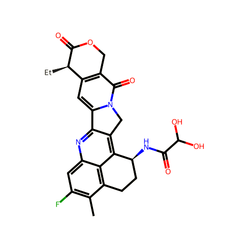 CC[C@H]1C(=O)OCc2c1cc1n(c2=O)Cc2c-1nc1cc(F)c(C)c3c1c2[C@@H](NC(=O)C(O)O)CC3